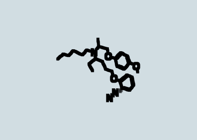 CCCCCCN(C(C)COc1ccc(OC)cc1)C(CC)CCCOc1ccccc1[N+]#N